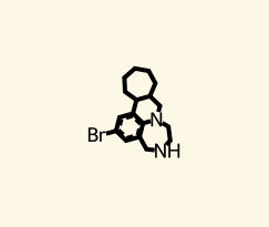 Brc1cc2c3c(c1)C1CCCCCC1CN3CCNC2